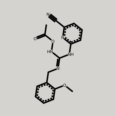 COc1ccccc1CN=C(NOC(C)=O)Nc1cccc(C#N)n1